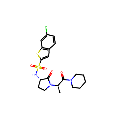 C[C@H](C(=O)N1CCCCC1)N1CC[C@H](NS(=O)(=O)c2cc3ccc(Cl)cc3s2)C1=O